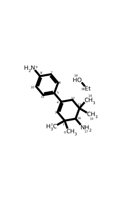 CC1(C)C=C(c2ccc(N)cc2)CC(C)(C)C1N.CCO